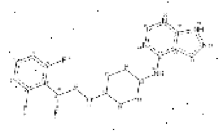 Fc1cccc(F)c1[C@@H](F)COC1CCC(Nc2ncnc3[nH]ncc23)CC1